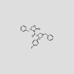 O=C1OC[C@@H](Cc2ccccc2)N1C(=O)[C@@H]1CN(Cc2ccccc2)C[C@H]1c1ccc(F)cc1